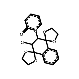 O=c1ccccn1C1C(Cl)C2(OCCO2)c2ccccc2C12OCCO2